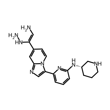 N/C=C(\NN)c1ccn2c(-c3cccc(N[C@H]4CCCNC4)n3)cnc2c1